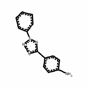 Nc1ccc(-c2nnn(-c3ccccc3)n2)cc1